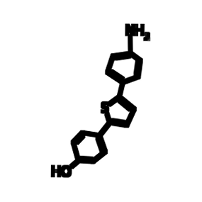 Nc1ccc(-c2ccc(-c3ccc(O)cc3)s2)cc1